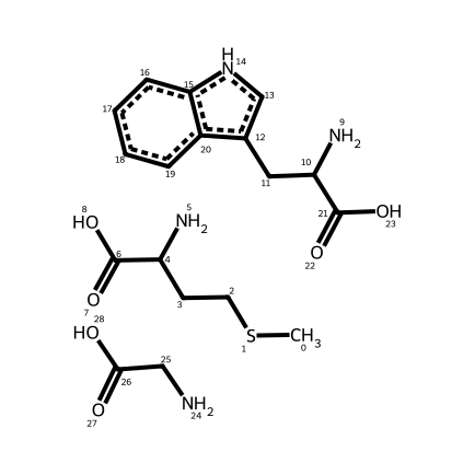 CSCCC(N)C(=O)O.NC(Cc1c[nH]c2ccccc12)C(=O)O.NCC(=O)O